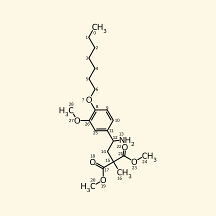 CCCCCCCOc1ccc(C(N)CC(C)(C(=O)OC)C(=O)OC)cc1OC